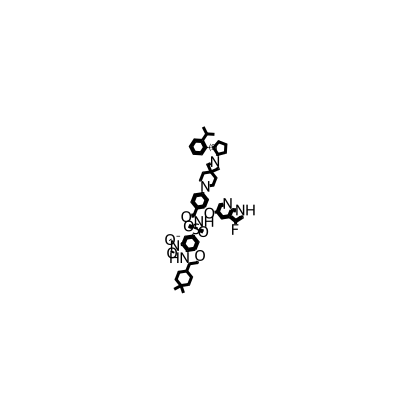 CC(C)c1ccccc1[C@@H]1CCCC1N1CC2(CCN(c3ccc(C(=O)NS(=O)(=O)c4cc5c(c([N+](=O)[O-])c4)NC(C4CCC(C)(C)CC4)CO5)c(Oc4cnc5[nH]cc(F)c5c4)c3)CC2)C1